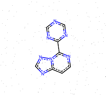 [c]1ncnc(-c2nccc3ncnn23)n1